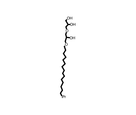 CC(C)CCCCCCCCCCCCCCCOCC(O)COCC(O)CO